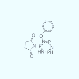 O=C1C=CC(=O)N1p1[nH][pH]npn1Oc1ccccc1